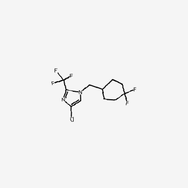 FC1(F)CCC(Cn2cc(Cl)nc2C(F)(F)F)CC1